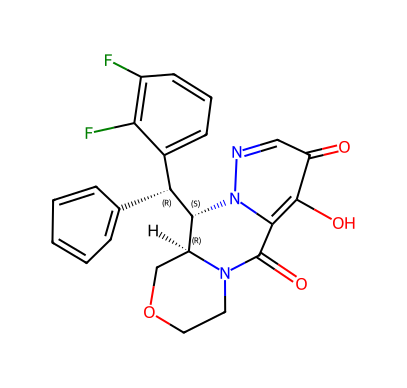 O=C1c2c(O)c(=O)cnn2[C@@H]([C@H](c2ccccc2)c2cccc(F)c2F)[C@@H]2COCCN12